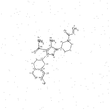 C=CC(=O)N1CCCC(n2nc(C3CCc4ccc(F)cc4C3)c(C(N)=O)c2N)C1